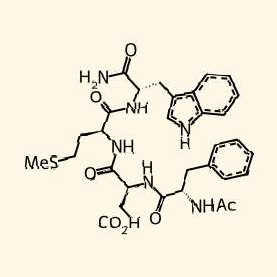 CSCC[C@H](NC(=O)[C@H](CC(=O)O)NC(=O)[C@H](Cc1ccccc1)NC(C)=O)C(=O)N[C@@H](Cc1c[nH]c2ccccc12)C(N)=O